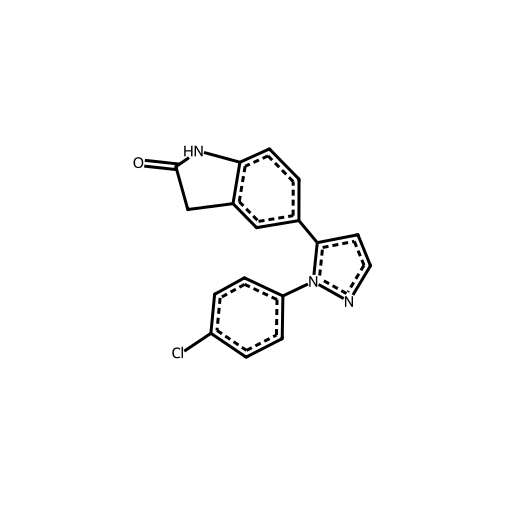 O=C1Cc2cc(-c3ccnn3-c3ccc(Cl)cc3)ccc2N1